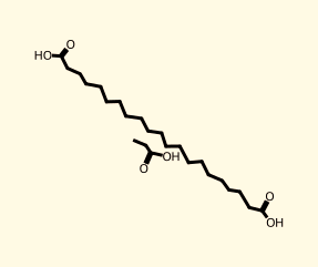 CCC(=O)O.O=C(O)CCCCCCCCCCCCCCCCCCCC(=O)O